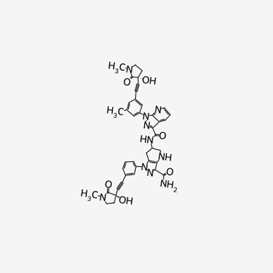 Cc1cc(C#C[C@]2(O)CCN(C)C2=O)cc(-n2nc(C(=O)NC3CNc4c(C(N)=O)nn(-c5cccc(C#C[C@]6(O)CCN(C)C6=O)c5)c4C3)c3cccnc32)c1